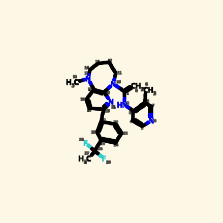 C=C(Nc1ccncc1C)N1CCCCN(C)c2ccc(-c3cccc(C(C)(F)F)c3)nc21